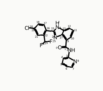 O=C(Nc1ccccn1)c1cccc2[nH]c(-c3ccc(Cl)cc3C(F)F)nc12